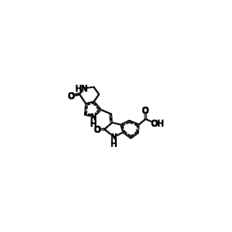 O=C1Nc2ccc(C(=O)O)cc2C1=Cc1[nH]cc2c1CCNC2=O